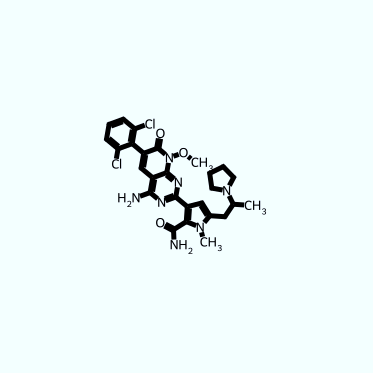 COn1c(=O)c(-c2c(Cl)cccc2Cl)cc2c(N)nc(-c3cc(CC(C)N4CCCC4)n(C)c3C(N)=O)nc21